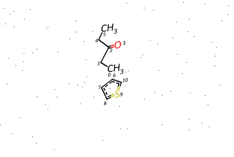 CCC(=O)CC.c1ccsc1